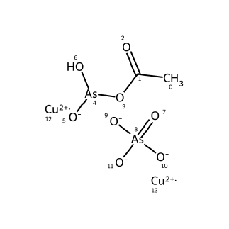 CC(=O)O[As]([O-])O.O=[As]([O-])([O-])[O-].[Cu+2].[Cu+2]